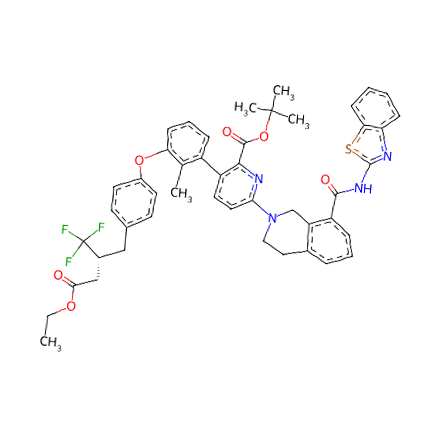 CCOC(=O)C[C@@H](Cc1ccc(Oc2cccc(-c3ccc(N4CCc5cccc(C(=O)Nc6nc7ccccc7s6)c5C4)nc3C(=O)OC(C)(C)C)c2C)cc1)C(F)(F)F